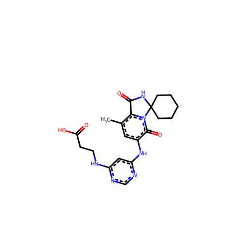 Cc1cc(Nc2cc(NCCC(=O)O)ncn2)c(=O)n2c1C(=O)NC21CCCCC1